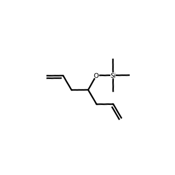 C=CCC(CC=C)O[Si](C)(C)C